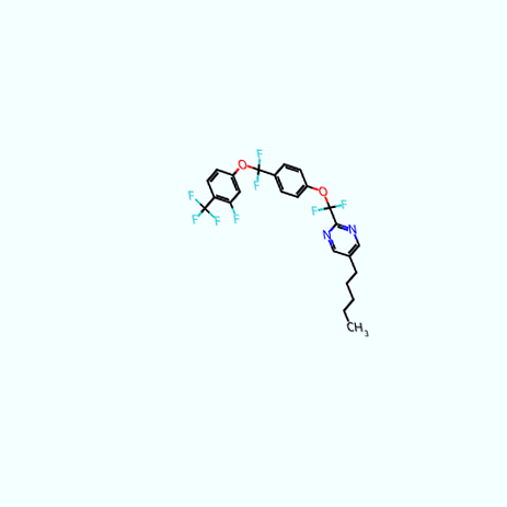 CCCCCc1cnc(C(F)(F)Oc2ccc(C(F)(F)Oc3ccc(C(F)(F)F)c(F)c3)cc2)nc1